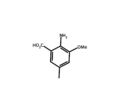 COc1cc(C)cc(C(=O)O)c1N